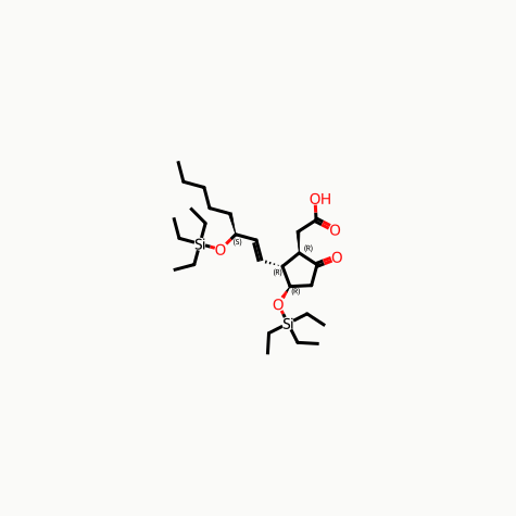 CCCCC[C@@H](C=C[C@H]1[C@H](O[Si](CC)(CC)CC)CC(=O)[C@@H]1CC(=O)O)O[Si](CC)(CC)CC